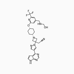 N#CCC1(n2cc(-c3ncnc4[nH]ccc34)cn2)CN([C@H]2CC[C@@H](Oc3cc(CNCO)cc(C(F)(F)F)n3)CC2)C1